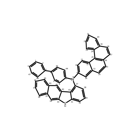 c1ccc(-c2ccc(N(c3ccc4c(ccc5ccc6ccccc6c54)c3)c3cccc4sc5cc6ccccc6cc5c34)cc2)cc1